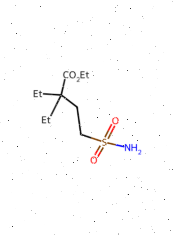 CCOC(=O)C(CC)(CC)CCS(N)(=O)=O